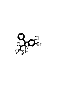 COC(SC)C(=O)c1[nH]c2cc(Br)c(Cl)cc2c1-c1ccccc1